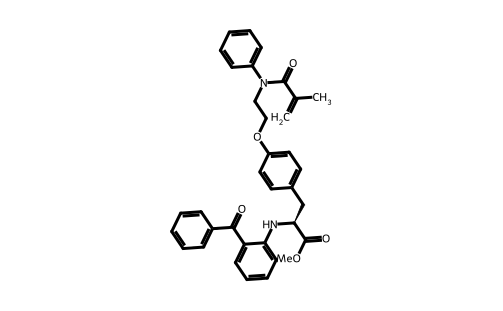 C=C(C)C(=O)N(CCOc1ccc(C[C@H](Nc2ccccc2C(=O)c2ccccc2)C(=O)OC)cc1)c1ccccc1